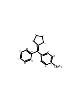 CSc1ccc(C(=C2CCCC2)c2ccccc2)cc1